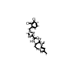 Cc1cc2n(n1)CC[C@H](NC(=O)c1ncn(Cc3cccc(Cl)c3Cl)n1)C(=O)N2C